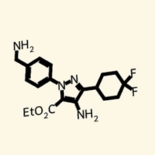 CCOC(=O)c1c(N)c(C2CCC(F)(F)CC2)nn1-c1ccc(CN)cc1